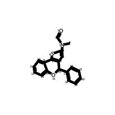 CN(C=O)c1cc2c(s1)-c1ccccc1OC2c1ccccc1